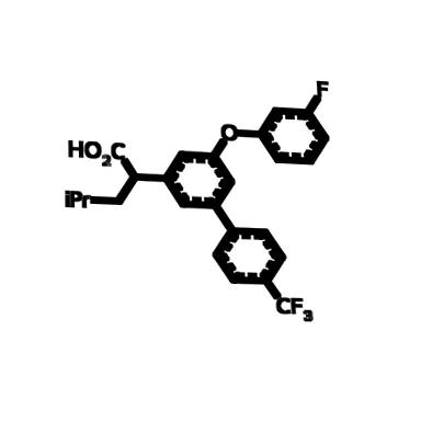 CC(C)CC(C(=O)O)c1cc(Oc2cccc(F)c2)cc(-c2ccc(C(F)(F)F)cc2)c1